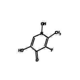 Cc1c(F)c(=O)c(O)cn1O